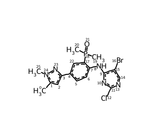 Cc1cc(-c2ccc(Nc3nc(Cl)ncc3Br)c(P(C)(C)=O)c2)nn1C